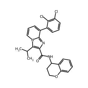 CC(C)c1c(C(=O)NC2CCOc3ccccc32)nc2c(-c3cccc(Cl)c3Cl)cccn12